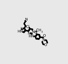 COc1cc(C(=O)N2CCOCC2)ccc1Nc1ncc(Cl)c(-c2c[nH]nc2CCC#N)n1